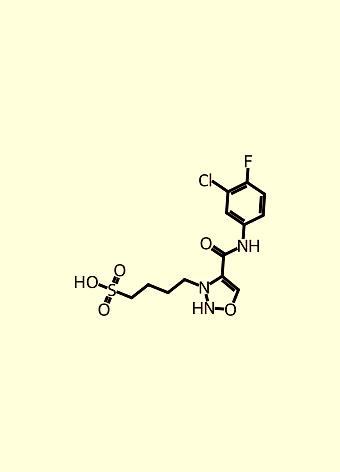 O=C(Nc1ccc(F)c(Cl)c1)C1=CONN1CCCCS(=O)(=O)O